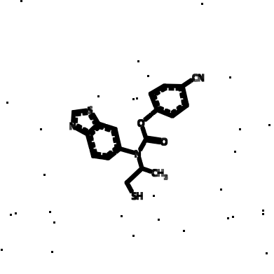 CC(CS)N(C(=O)Oc1ccc(C#N)cc1)c1ccc2ncsc2c1